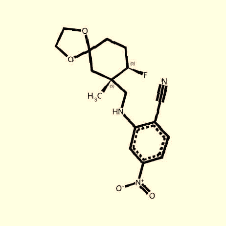 C[C@@]1(CNc2cc([N+](=O)[O-])ccc2C#N)CC2(CC[C@H]1F)OCCO2